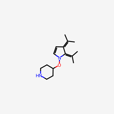 CC(C)=c1ccn(OC2CCNCC2)c1=C(C)C